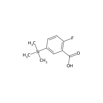 C[Si](C)(C)c1ccc(F)c(C(=O)O)c1